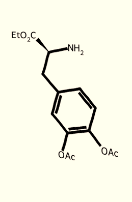 CCOC(=O)[C@@H](N)Cc1ccc(OC(C)=O)c(OC(C)=O)c1